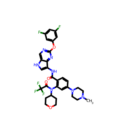 CN1CCN(c2ccc(C(=O)Nc3c[nH]c4cnc(Oc5cc(F)cc(F)c5)nc34)c(N(C(=O)C(F)(F)F)C3CCOCC3)c2)CC1